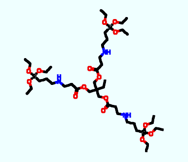 CCO[Si](CCCNCCC(=O)OCC(CC)(COC(=O)CCNCCC[Si](OCC)(OCC)OCC)COC(=O)CCNCCC[Si](OCC)(OCC)OCC)(OCC)OCC